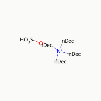 CCCCCCCCCC[N+](CCCCCCCCCC)(CCCCCCCCCC)CCCCCCCCCC.O=S(=O)([O-])O